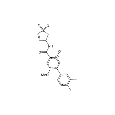 COc1cc(C(=O)NC2C=CS(=O)(=O)C2)[n+]([O-])cc1-c1ccc(C)c(C)c1